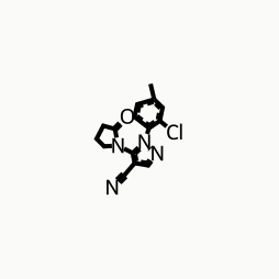 Cc1ccc(-n2ncc(C#N)c2N2CCCC2=O)c(Cl)c1